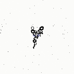 CCCCOc1ccc(CC2/C(=C/c3ccc(OC)cc3)N(C(=O)OCc3ccccc3)/C(=N\C(=O)C(C)C)N2C)cc1